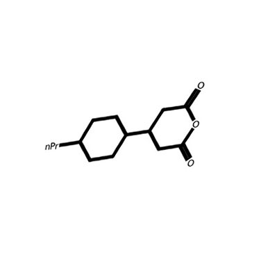 CCCC1CCC(C2CC(=O)OC(=O)C2)CC1